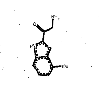 CC(C)(C)c1cccc2[nH]c(C(=O)CN)cc12